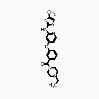 CCN1CCN(C(=O)c2cccc(Oc3ccnc(Nc4nc(C)cs4)c3)c2)CC1